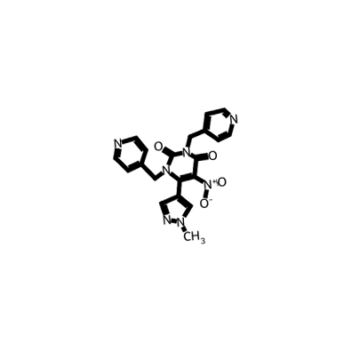 Cn1cc(-c2c([N+](=O)[O-])c(=O)n(Cc3ccncc3)c(=O)n2Cc2ccncc2)cn1